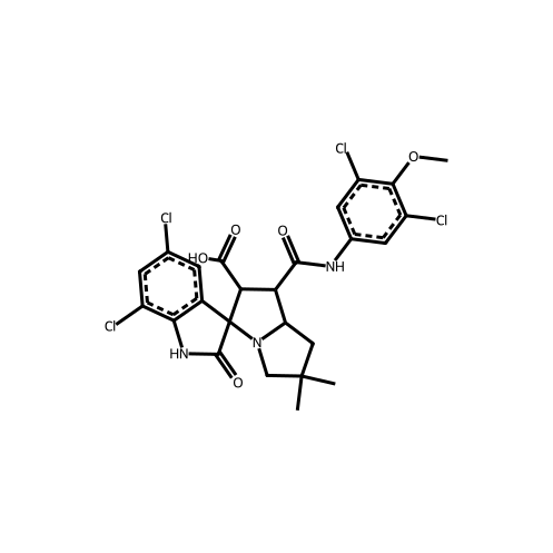 COc1c(Cl)cc(NC(=O)C2C3CC(C)(C)CN3C3(C(=O)Nc4c(Cl)cc(Cl)cc43)C2C(=O)O)cc1Cl